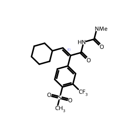 CNC(=O)NC(=O)/C(=C/C1CCCCC1)c1ccc(S(C)(=O)=O)c(C(F)(F)F)c1